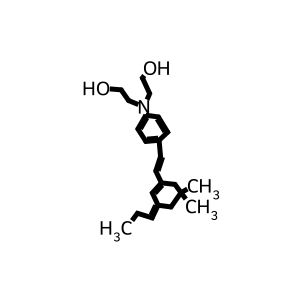 CCC=C1C=C(C=Cc2ccc(N(CCO)CCO)cc2)CC(C)(C)C1